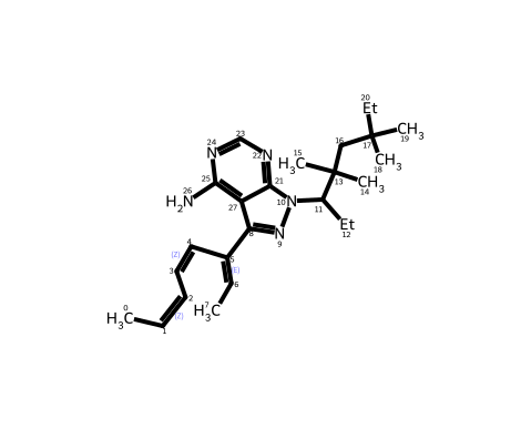 C\C=C/C=C\C(=C/C)c1nn(C(CC)C(C)(C)CC(C)(C)CC)c2ncnc(N)c12